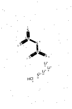 Cl.S=P(=S)SP(=S)=S.[Li+].[Li+].[Li+].[S-2]